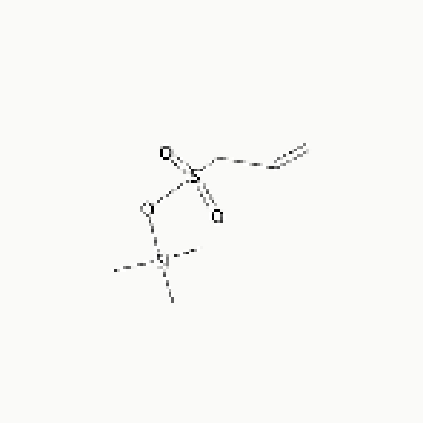 C=CCS(=O)(=O)O[Si](C)(C)C